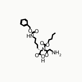 CCCCOC(=O)N(C(=O)CN)[C@@H](CCCCNC(=O)OCc1ccccc1)C(=O)O